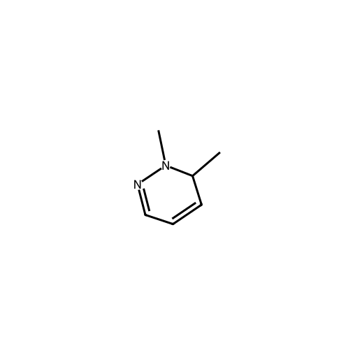 CC1C=CC=NN1C